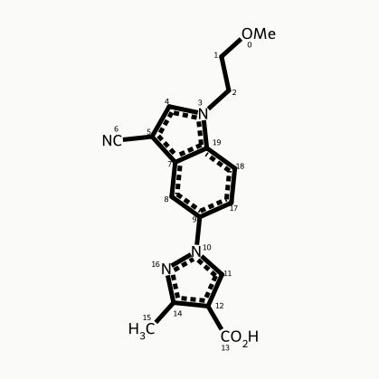 COCCn1cc(C#N)c2cc(-n3cc(C(=O)O)c(C)n3)ccc21